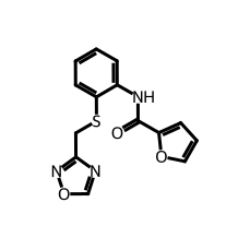 O=C(Nc1ccccc1SCc1ncon1)c1ccco1